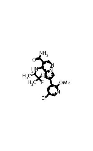 COc1ncc(Cl)cc1-c1cc2c(N[C@H](C)C(C)(C)F)c(C(N)=O)cnn2c1